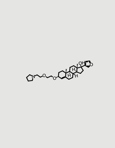 C[C@]12CC[C@H](OCCOCCN3CCCC3)C=C1CC[C@@H]1[C@@H]2CC[C@@]2(C)[C@H]1CC[C@@]2(O)c1ccoc1